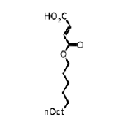 CCCCCCCCCCCCCOC(=O)/C=C/C(=O)O